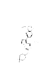 COc1nc(NC2CCC(C)(O)CC2)nn2ccc(-c3ccc4nnn([C@H](C)C(F)(F)F)c4c3)c12